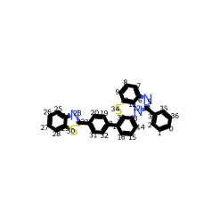 c1ccc(-c2nc3cccc4c3n2-c2cccc(-c3ccc(-c5nc6ccccc6s5)cc3)c2S4)cc1